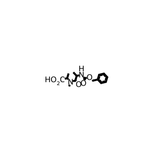 CC(NC(=O)OCc1ccccc1)C(=O)N(C)C(C)C(=O)O